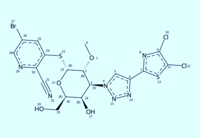 CO[C@@H]1[C@@H](n2cc(-c3nc(Cl)c(Cl)s3)nn2)[C@@H](O)[C@@H](CO)O[C@@H]1Sc1cc(Br)cnc1C#N